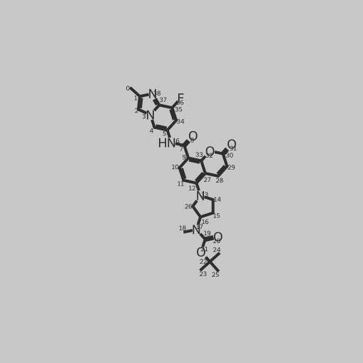 Cc1cn2cc(NC(=O)c3ccc(N4CCC(N(C)C(=O)OC(C)(C)C)C4)c4ccc(=O)oc34)cc(F)c2n1